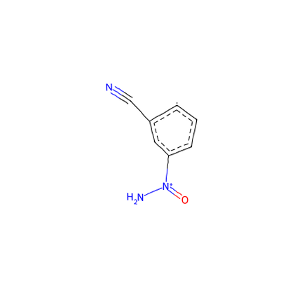 N#Cc1[c]ccc([N+](N)=O)c1